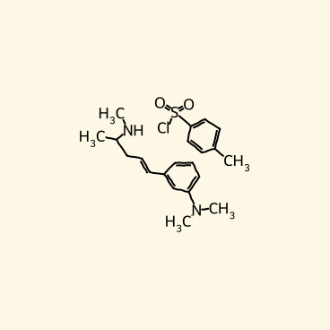 CNC(C)CC=Cc1cccc(N(C)C)c1.Cc1ccc(S(=O)(=O)Cl)cc1